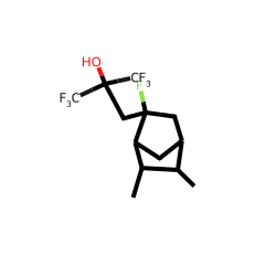 CC1C2CC(C1C)C(F)(CC(O)(C(F)(F)F)C(F)(F)F)C2